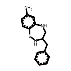 Nc1ccc2c(c1)NCC(Cc1ccccc1)NS2